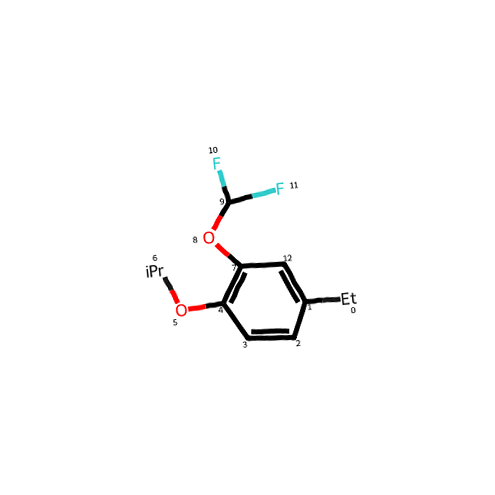 CCc1ccc(OC(C)C)c(OC(F)F)c1